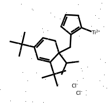 CC(C)C1(CC2=[C]([Ti+2])CC=C2)CC=C(C(C)(C)C)C=C1C(C)(C)C.[Cl-].[Cl-]